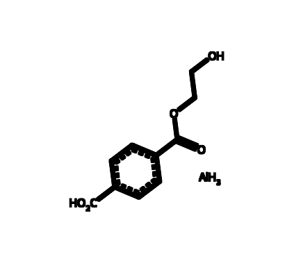 O=C(O)c1ccc(C(=O)OCCO)cc1.[AlH3]